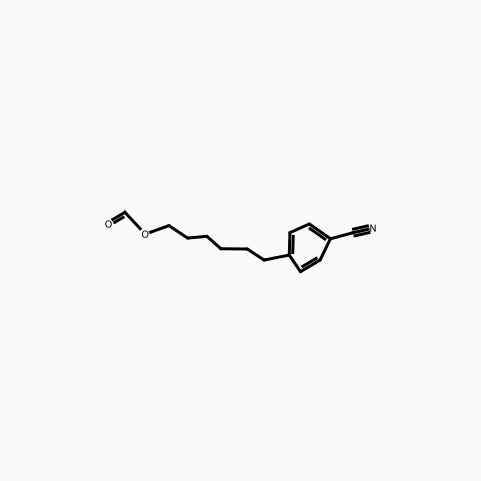 N#Cc1ccc(CCCCCCO[C]=O)cc1